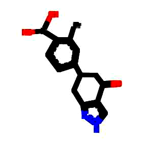 CC(C)c1cc(C2CC(=O)c3c[nH]nc3C2)ccc1B(O)O